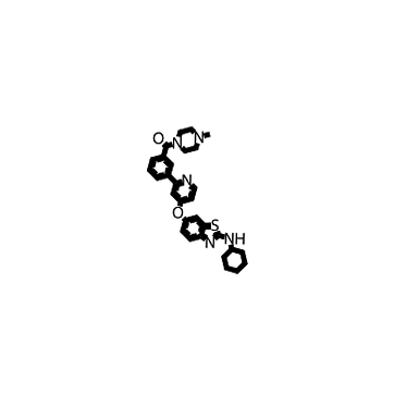 CN1CCN(C(=O)c2cccc(-c3cc(Oc4ccc5nc(NC6CCCCC6)sc5c4)ccn3)c2)CC1